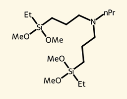 CCCN(CCC[Si](CC)(OC)OC)CCC[Si](CC)(OC)OC